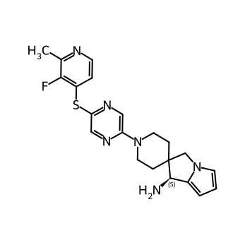 Cc1nccc(Sc2cnc(N3CCC4(CC3)Cn3cccc3[C@H]4N)cn2)c1F